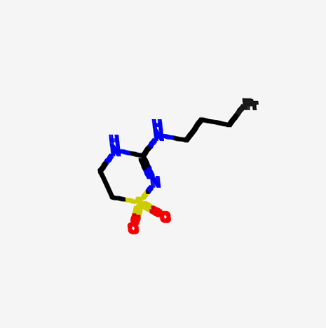 CC(C)CCCNC1=NS(=O)(=O)CCN1